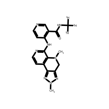 [2H]C([2H])([2H])NC(=O)c1cnccc1Nc1nccc2c1N(C)Cc1nn(C)nc1-2